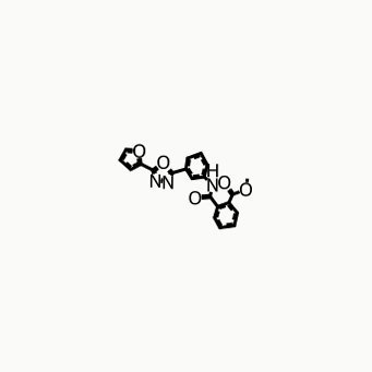 COC(=O)c1ccccc1C(=O)Nc1cccc(-c2nnc(-c3ccco3)o2)c1